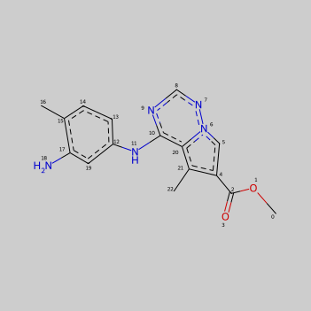 COC(=O)c1cn2ncnc(Nc3ccc(C)c(N)c3)c2c1C